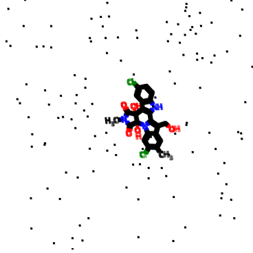 Cc1cc2c(CO)c3n(c2cc1Cl)[C@]1(O)C(=O)N(C)C(=O)[C@]1(O)c1c-3[nH]c2ccc(Cl)cc12